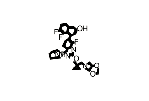 Oc1cc(-c2ccc3c(N4CC5CCC(C4)N5)nc(OCC4(CN5CC6OCCOC6C5)CC4)nc3c2F)c2c(F)c(F)ccc2c1